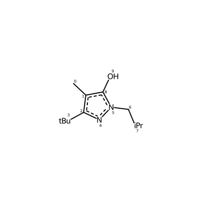 Cc1c(C(C)(C)C)nn(CC(C)C)c1O